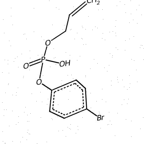 C=CCOP(=O)(O)Oc1ccc(Br)cc1